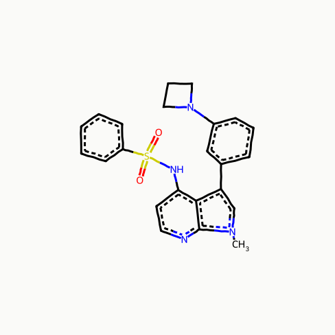 Cn1cc(-c2cccc(N3CCC3)c2)c2c(NS(=O)(=O)c3ccccc3)ccnc21